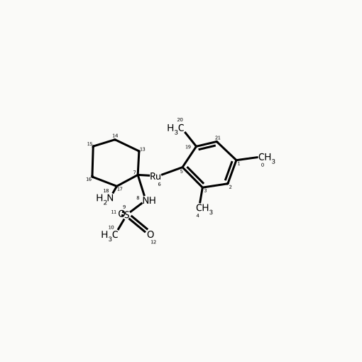 Cc1cc(C)[c]([Ru][C]2(NS(C)(=O)=O)CCCCC2N)c(C)c1